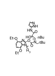 CCCC[C@@H]([C@H](O)C(=O)Nc1ccn[nH]1)N(CC(C)(C)C)C(=O)Oc1nc2c(OCC)ccc(OCC)c2n1C